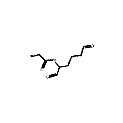 O=[C]CCCC([C]=O)NC(=O)CCl